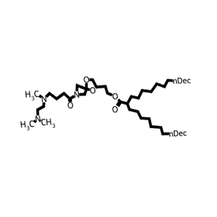 CCCCCCCCCCCCCCCCCC(CCCCCCCCCCCCCCCCC)C(=O)OCCC1COC2(CN(C(=O)CCCN(C)CCN(C)C)C2)O1